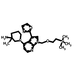 CC1(N)CCCN(c2ccnc3c2c(-c2nccs2)cn3COCC[Si](C)(C)C)C1